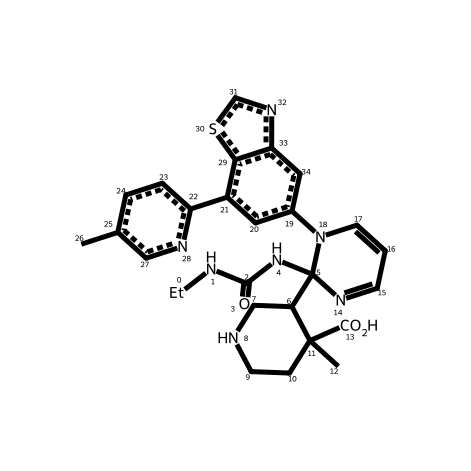 CCNC(=O)NC1(C2CNCCC2(C)C(=O)O)N=CC=CN1c1cc(-c2ccc(C)cn2)c2scnc2c1